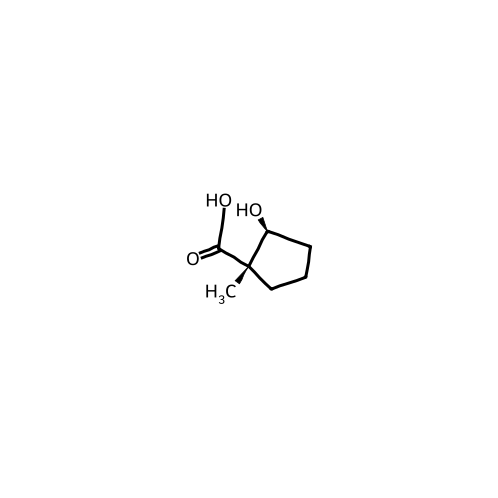 C[C@]1(C(=O)O)CCC[C@@H]1O